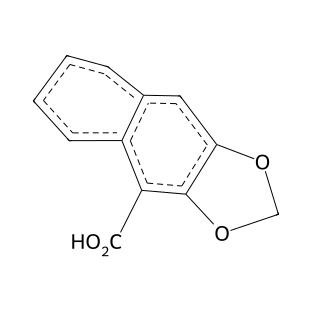 O=C(O)c1c2c(cc3ccccc13)OCO2